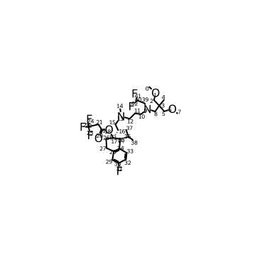 COCC(C)(COC)CN(CCCN(C)CC[C@@]1(OC(=O)CC(F)(F)F)CCc2cc(F)ccc2[C@@H]1C(C)C)CC(F)F